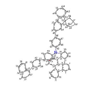 c1ccc(-c2ccccc2-c2ccccc2-c2ccccc2N(c2ccc(-c3ccc(-c4cccc5ccccc45)cc3)cc2)c2ccc(-c3ccc4c(c3)C3(CC5CCC3C5)c3ccccc3-4)cc2)cc1